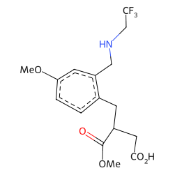 COC(=O)C(CC(=O)O)Cc1ccc(OC)cc1CNCC(F)(F)F